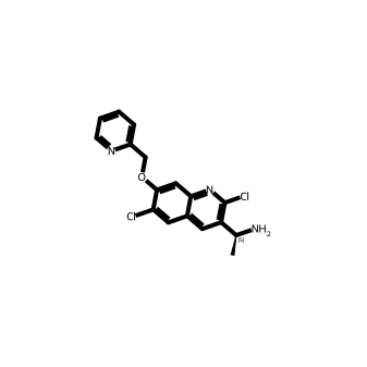 C[C@H](N)c1cc2cc(Cl)c(OCc3ccccn3)cc2nc1Cl